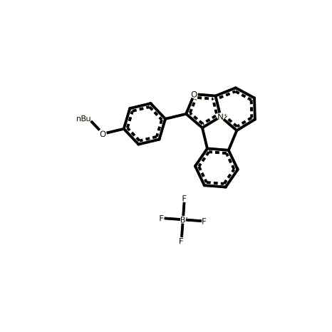 CCCCOc1ccc(-c2oc3cccc4[n+]3c2-c2ccccc2-4)cc1.F[B-](F)(F)F